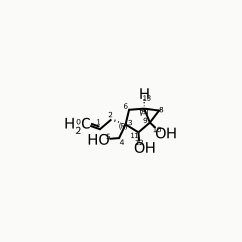 C=CC[C@]1(CO)C[C@H]2CC2(O)C1O